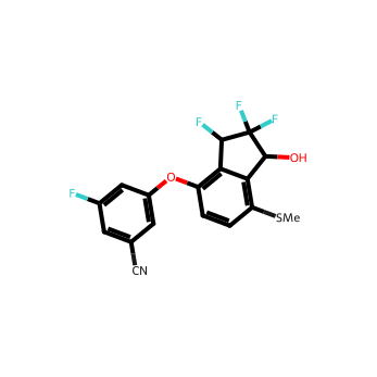 CSc1ccc(Oc2cc(F)cc(C#N)c2)c2c1C(O)C(F)(F)C2F